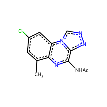 CC(=O)Nc1nc2c(C)cc(Cl)cc2n2cnnc12